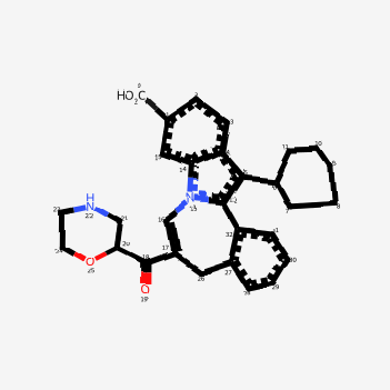 O=C(O)c1ccc2c(C3CCCCC3)c3n(c2c1)C=C(C(=O)C1CNCCO1)Cc1ccccc1-3